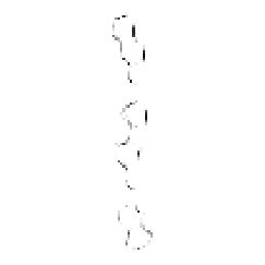 C(=N\c1ccc(-c2ccc(/N=C/c3ccc4ccccc4c3)cn2)nc1)/c1ccc2ccccc2c1